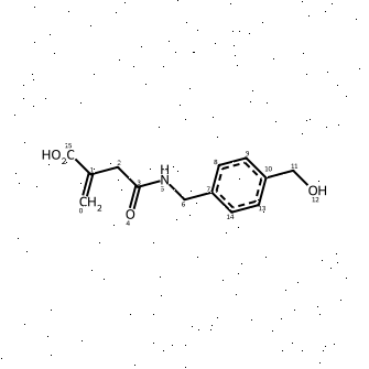 C=C(CC(=O)NCc1ccc(CO)cc1)C(=O)O